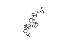 C[C@@H]1CN(c2nc(-n3ccc(OCC(C)(C)C(F)(F)F)n3)ccc2C(=O)NS(=O)(=O)c2cccc([Si](C)(C)C)c2)C(C)(C)C1